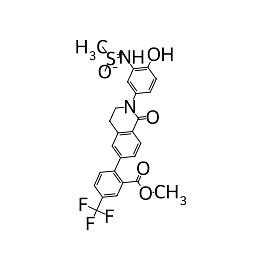 COC(=O)c1cc(C(F)(F)F)ccc1-c1ccc2c(c1)CCN(c1ccc(O)c(N[S+](C)[O-])c1)C2=O